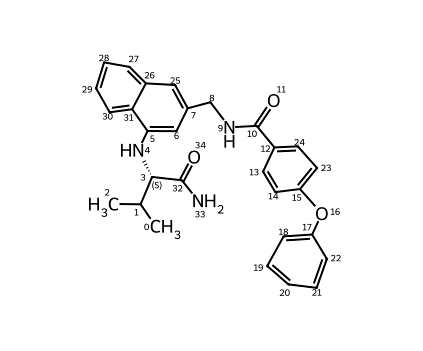 CC(C)[C@H](Nc1cc(CNC(=O)c2ccc(Oc3ccccc3)cc2)cc2ccccc12)C(N)=O